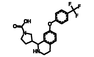 O=C(O)N1CCC(C2NCCc3ccc(Oc4ccc(C(F)(F)F)cc4)cc32)C1